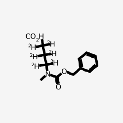 [2H]C([2H])(C(=O)O)C([2H])([2H])C([2H])([2H])N(C)C(=O)OCc1ccccc1